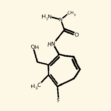 CC1=C(F)CC=CC(NC(=O)N(C)N)=C1CO